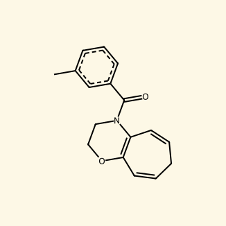 Cc1cccc(C(=O)N2CCOC3=C2C=CCC=C3)c1